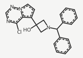 OC1(c2ccn3ncnc(Cl)c23)CN(C(c2ccccc2)c2ccccc2)C1